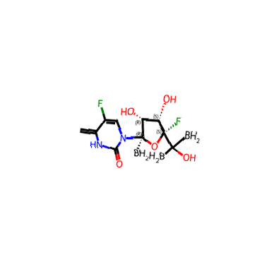 BC(B)(O)[C@@]1(F)O[C@@](B)(N2C=C(F)C(=C)NC2=O)[C@H](O)[C@@H]1O